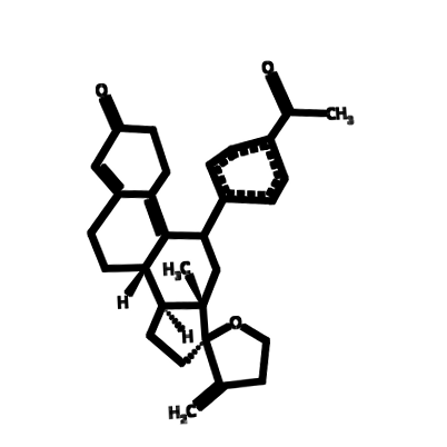 C=C1CCO[C@@]12CC[C@H]1[C@@H]3CCC4=CC(=O)CCC4=C3C(c3ccc(C(C)=O)cc3)C[C@@]12C